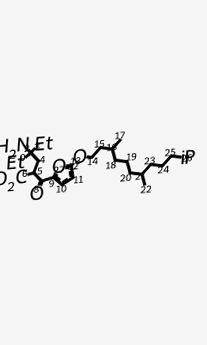 CCC(N)(CC)CC(C(=O)O)C(=O)c1ccc(OCCC(C)CCCC(C)CCCC(C)C)o1